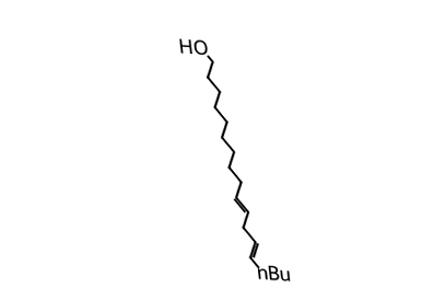 CCCCC=CCC=CCCCCCCCCCO